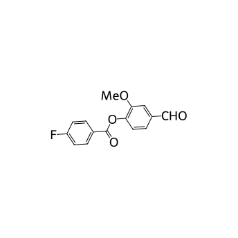 COc1cc(C=O)ccc1OC(=O)c1ccc(F)cc1